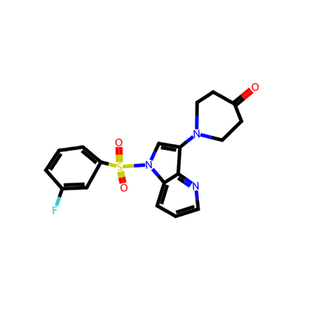 O=C1CCN(c2cn(S(=O)(=O)c3cccc(F)c3)c3cccnc23)CC1